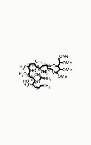 C=C/C=C\[C@H](C)[C@H](OC(N)=O)[C@@H](C)[C@H](O)[C@@H](C)C/C(C)=C\[C@H](C)[C@@H](O)[C@@H](C)/C=C\[C@@H](O)CO[C@H](OC)C(OC)C(OC)C(COC)OC